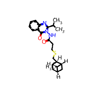 CC(C)c1nc2ccccc2c(=O)n1NC(=O)CCSC[C@@H]1CC[C@H]2C[C@@H]1C2(C)C